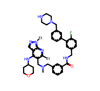 CCc1nc2c(cnn2CC)c(NC2CCOCC2)c1CN(C)Cc1cccc(C(=O)NCc2ccc(F)c(-c3cccc(CN4CCNCC4)c3)c2)c1